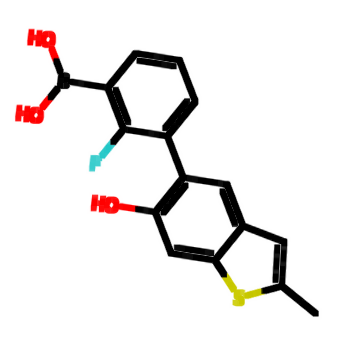 Cc1cc2cc(-c3cccc(B(O)O)c3F)c(O)cc2s1